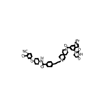 CC(C)n1ccc2c(N3CCC(=O)NC3=O)cc(C(=O)N3CCC4(CCN(CCCc5ccc(C(=O)N[C@H]6CC[C@H](Oc7ccc(C#N)c(Cl)c7)CC6)cc5)CC4)CC3)cc21